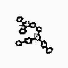 c1ccc(-c2ccc(-c3cc(-c4cccc(-c5ccc6nc(-c7ccccc7)c7oc8ccccc8c7c6c5)c4)nc(-c4ccc(-c5ccccc5)cc4)n3)cc2)cc1